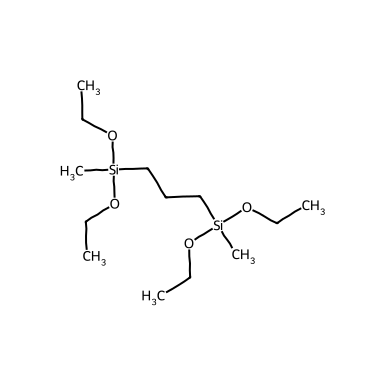 CCO[Si](C)(CCC[Si](C)(OCC)OCC)OCC